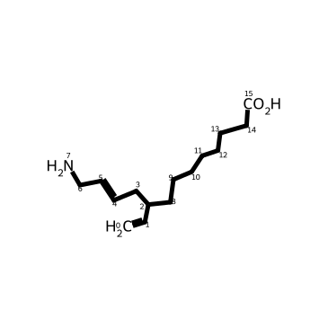 C=CC(CC=CCN)CCCCCCCC(=O)O